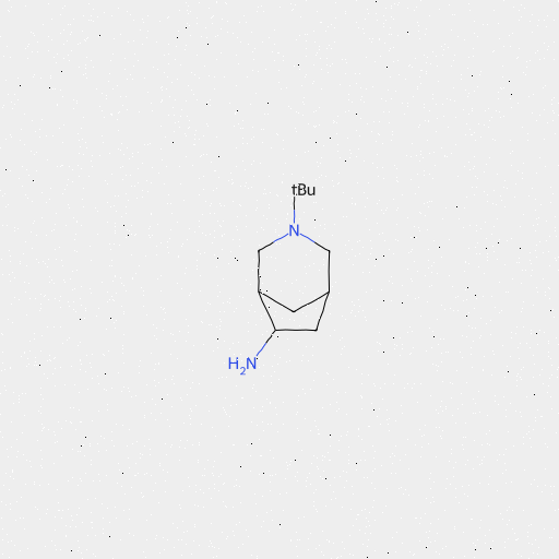 CC(C)(C)N1CC2CC(N)C(C2)C1